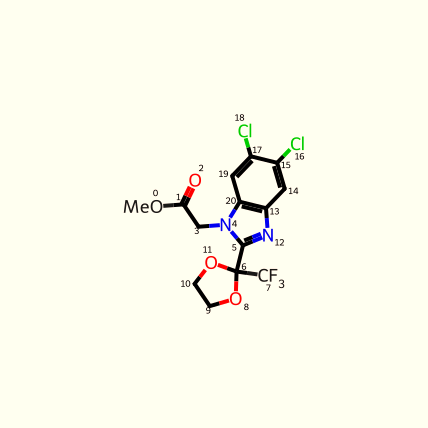 COC(=O)Cn1c(C2(C(F)(F)F)OCCO2)nc2cc(Cl)c(Cl)cc21